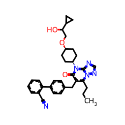 CCCc1c(Cc2ccc(-c3ccccc3C#N)cc2)c(=O)n([C@H]2CC[C@H](OCC(O)C3CC3)CC2)c2ncnn12